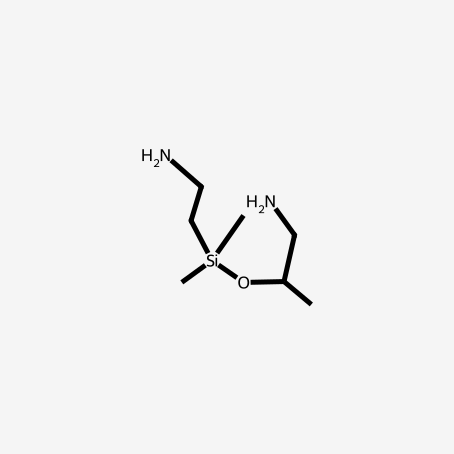 CC(CN)O[Si](C)(C)CCN